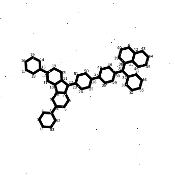 C1CCC(C2CCC3C(C2)C2CC(C4CCCCC4)CCC2C3C2CCC(C3CCC(C(C4CCCCC4)C4CCCC5CCCCC54)CC3)CC2)CC1